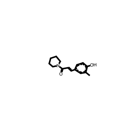 Cc1cc(/C=C/C(=O)N2CCCCC2)ccc1O